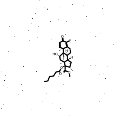 CCCCCC(=O)O[C@]1(C(=O)OC)[C@@H](C)C[C@H]2[C@@H]3CCC4=C(F)C(=O)C=C[C@]4(C)[C@@]3(F)[C@@H](O)C[C@@]21C